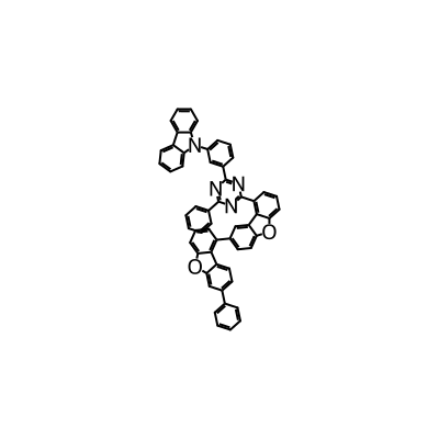 c1ccc(-c2ccc3c(c2)oc2cccc(-c4ccc5oc6cccc(-c7nc(-c8ccccc8)nc(-c8cccc(-n9c%10ccccc%10c%10ccccc%109)c8)n7)c6c5c4)c23)cc1